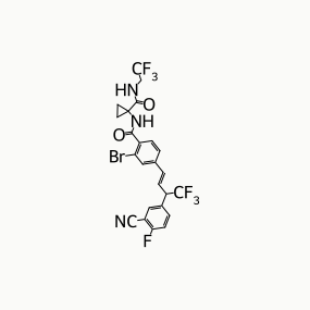 N#Cc1cc(C(/C=C/c2ccc(C(=O)NC3(C(=O)NCC(F)(F)F)CC3)c(Br)c2)C(F)(F)F)ccc1F